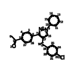 CC(=O)c1ccc(-c2nn(-c3ccccc3)cc2Sc2ccc(Cl)cc2)cc1